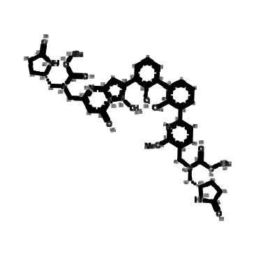 COc1nc(-c2cccc(-c3cccc(-c4cc5nc(CN(C[C@@H]6CCC(=O)N6)C(=O)OC(C)(C)C)cc(=O)n5n4C)c3Cl)c2Cl)ccc1CN(C[C@@H]1CCC(=O)N1)C(=O)OC(C)(C)C